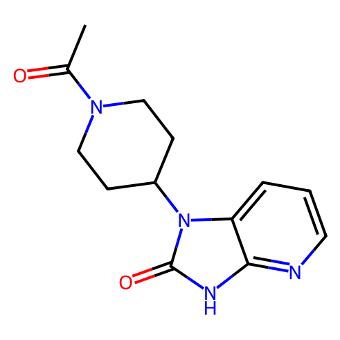 CC(=O)N1CCC(n2c(=O)[nH]c3ncccc32)CC1